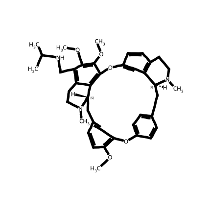 COc1ccc2cc1Oc1ccc(cc1)C[C@H]1c3cc(ccc3CCN1C)Oc1c(OC)c(OC)c(CNC(C)C)c3c1[C@H](C2)N(C)CC3